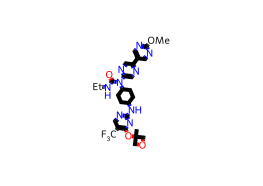 CCNC(=O)N(c1cnc(-c2cnc(OC)nc2)cn1)C1CCC(Nc2ncc(C(F)(F)F)c(OC3(C)COC3)n2)CC1